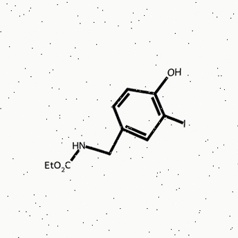 CCOC(=O)NCc1ccc(O)c(I)c1